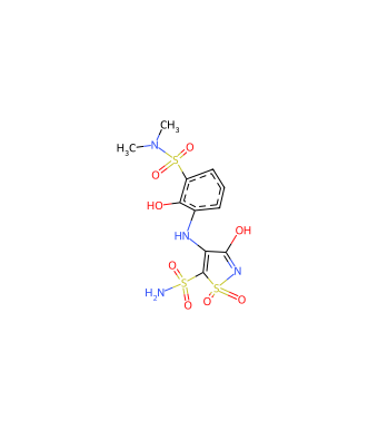 CN(C)S(=O)(=O)c1cccc(NC2=C(S(N)(=O)=O)S(=O)(=O)N=C2O)c1O